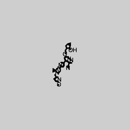 COc1ccc(CN2CCN(c3ccc(-c4cc(OCCC5CC6CC6C5O)cn5ncc(C#N)c45)cn3)CC23CC3)cn1